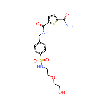 NC(=O)c1ccc(C(=O)NCc2ccc(S(=O)(=O)NCCOCCO)cc2)s1